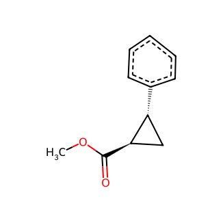 COC(=O)[C@@H]1C[C@H]1c1ccccc1